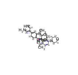 C\C=C(/C=C\C(=C(/C)CC)N1CCOCC1)N/C(=C\CC)C(=O)N(C)c1cc(/C(C=N)=C/N)ccc1C